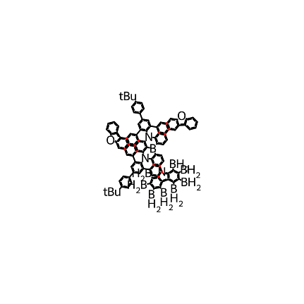 Bc1c(B)c(B)c2c(c1B)c1c(B)c(B)c(B)c(B)c1n2-c1ccc2c(c1)N(c1c(-c3ccccc3)cc(-c3ccc(C(C)(C)C)cc3)cc1-c1ccccc1)c1cc(-c3ccc4oc5ccccc5c4c3)cc3c1B2c1ccc(-c2ccc4oc5ccccc5c4c2)cc1N3c1c(-c2ccccc2)cc(-c2ccc(C(C)(C)C)cc2)cc1-c1ccccc1